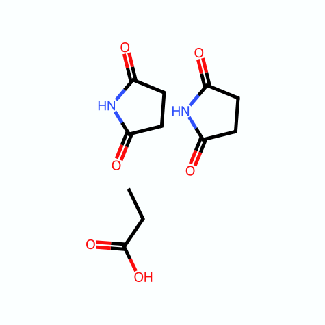 CCC(=O)O.O=C1CCC(=O)N1.O=C1CCC(=O)N1